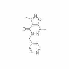 Cc1nn(Cc2ccncc2)c(=O)c2c(C)noc12